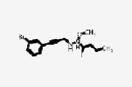 CCCC(I)[SiH](NCC#Cc1cccc(Br)c1)OC